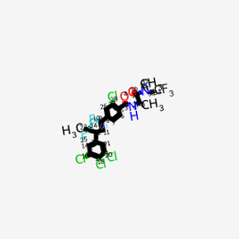 C[C@@H](NC(=O)c1ccc(/C(F)=C/C(c2cc(Cl)c(Cl)c(Cl)c2)C(C)(F)F)cc1Cl)C(=O)N(C)CC(F)(F)F